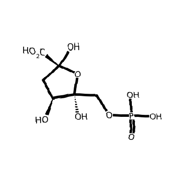 O=C(O)[C@]1(O)C[C@H](O)[C@](O)(COP(=O)(O)O)O1